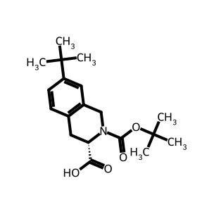 CC(C)(C)OC(=O)N1Cc2cc(C(C)(C)C)ccc2C[C@H]1C(=O)O